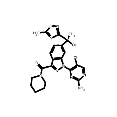 Cc1nc([C@](C)(O)c2ccc3c(C(=O)N4CCCCC4)nn(-c4nc(N)ncc4Cl)c3c2)no1